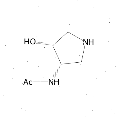 CC(=O)N[C@H]1CNC[C@H]1O